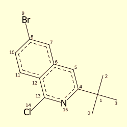 CC(C)(C)c1cc2cc(Br)ccc2c(Cl)n1